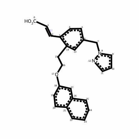 O=C(O)/C=C/c1ccc(Cn2cccn2)cc1CCOc1ccc2ccccc2c1